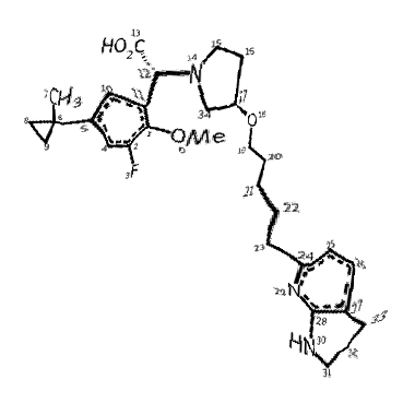 COc1c(F)cc(C2(C)CC2)cc1[C@H](C(=O)O)N1CC[C@@H](OCCCCCc2ccc3c(n2)NCCC3)C1